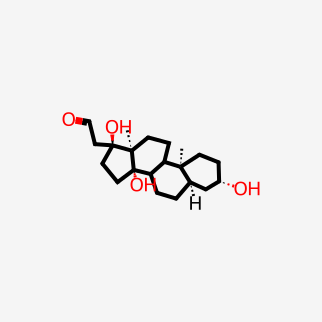 C[C@]12CCC3C(CC[C@@H]4C[C@@H](O)CC[C@]34C)[C@@]1(O)CC[C@]2(O)CC=O